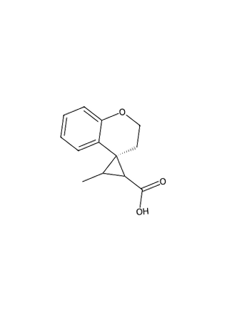 CC1C(C(=O)O)[C@@]12CCOc1ccccc12